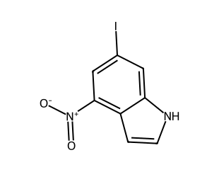 O=[N+]([O-])c1cc(I)cc2[nH]ccc12